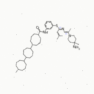 CC(C)=C/C(=N\C=C(/C)N1CCC(C)(N)CC1)Sc1cccc(NC(=O)C2CCCC(C3CCCC(C4CCCC(C)CCC4)CCC3)CCC2)c1